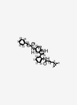 CN(C)CC=CC(=O)Nc1ccccc1-c1c[nH]c2ncc(NC(=O)OCc3ccccc3)cc12